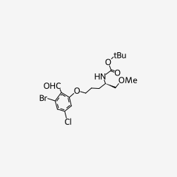 COC[C@@H](CCCOc1cc(Cl)cc(Br)c1C=O)NC(=O)OC(C)(C)C